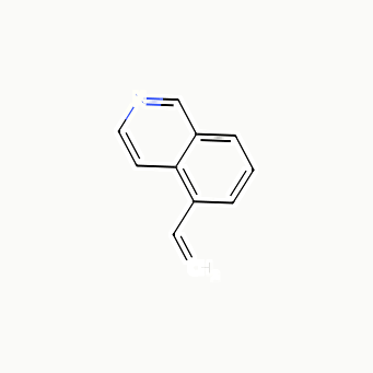 C=Cc1cccc2cnccc12